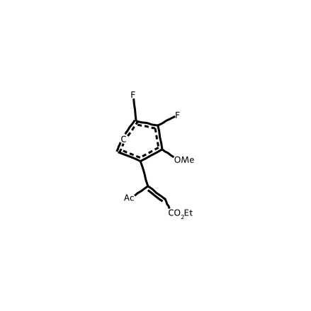 CCOC(=O)C=C(C(C)=O)c1ccc(F)c(F)c1OC